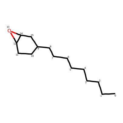 CCCCCCCCCC1CCC2OC2C1